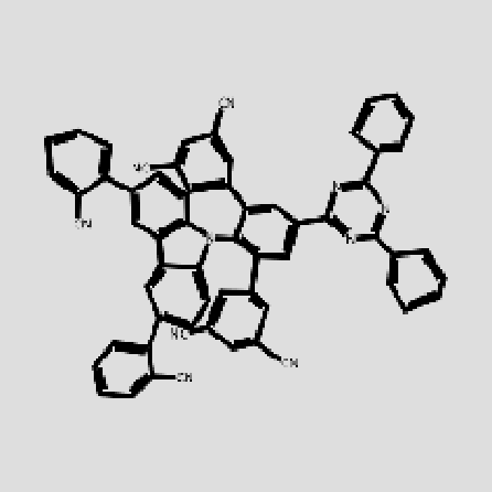 N#Cc1cc(C#N)cc(-c2cc(-c3nc(-c4ccccc4)nc(-c4ccccc4)n3)cc(-c3cc(C#N)cc(C#N)c3)c2-n2c3ccc(-c4ccccc4C#N)cc3c3cc(-c4ccccc4C#N)ccc32)c1